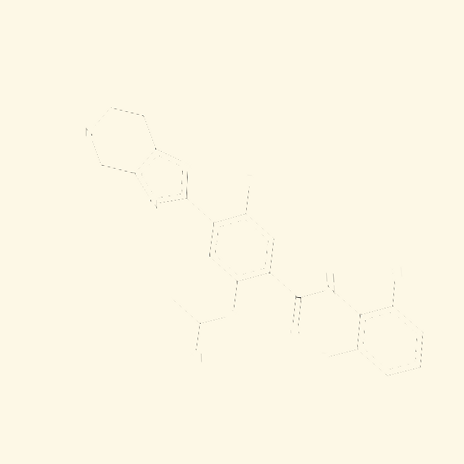 CC(Oc1cc(-c2nc3c(s2)CCNC3)c(F)cc1C(=O)Nc1c(F)cccc1Cl)C(F)(F)F